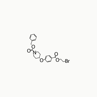 O=C(OCCBr)c1ccc(OC2CCN(C(=O)OCc3ccccc3)CC2)cc1